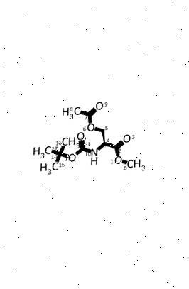 COC(=O)[C@H](COC(C)=O)NC(=O)OC(C)(C)C